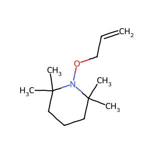 C=CCON1C(C)(C)CCCC1(C)C